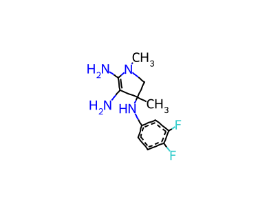 CN1CC(C)(Nc2ccc(F)c(F)c2)C(N)=C1N